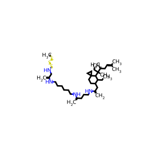 C=C(CCCNC(=C)CC1CCC2(CC2)C(C(C)(CC)C(C)CC=C(C)C)C1CC)NCCCCCCNC(=C)CNSSSC